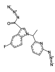 CC(c1cccc(N=[N+]=[N-])n1)n1cc(C(=O)N=[N+]=[N-])c2cc(F)ccc21